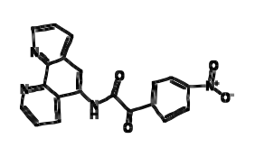 O=C(Nc1cc2cccnc2c2ncccc12)C(=O)c1ccc([N+](=O)[O-])cc1